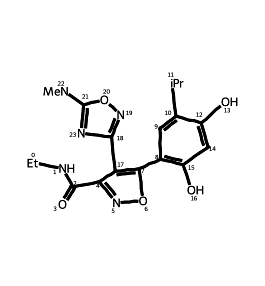 CCNC(=O)c1noc(-c2cc(C(C)C)c(O)cc2O)c1-c1noc(NC)n1